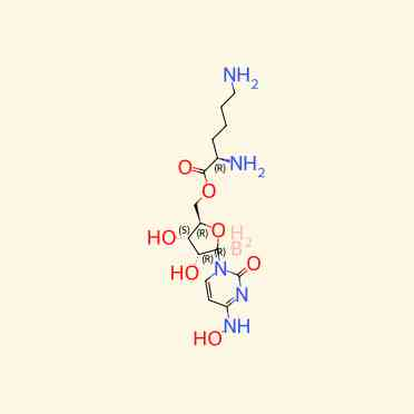 B[C@@]1(n2ccc(NO)nc2=O)O[C@H](COC(=O)[C@H](N)CCCCN)[C@@H](O)[C@H]1O